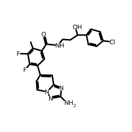 Cc1c(C(=O)NCCC(O)c2ccc(Cl)cc2)cc(-c2ccn3nc(N)nc3c2)c(F)c1F